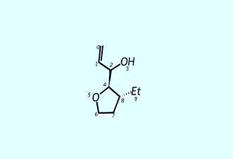 C=CC(O)[C@@H]1OCC[C@H]1CC